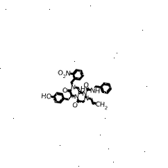 C=CCN1CC(=O)N2[C@@H](Cc3ccc(O)cc3)C(=O)N(Cc3ccccc3[N+](=O)[O-])C[C@@H]2N1C(=O)NCc1ccccc1